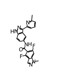 Cc1cccc(-c2n[nH]c3ccc(NC(=O)c4c(F)cc5c(cnn5C)c4F)cc23)n1